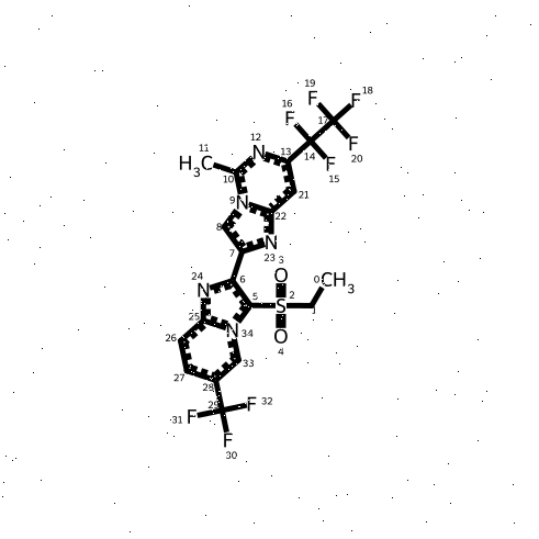 CCS(=O)(=O)c1c(-c2cn3c(C)nc(C(F)(F)C(F)(F)F)cc3n2)nc2ccc(C(F)(F)F)cn12